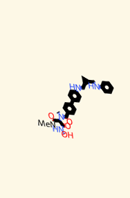 CNC(=O)C(C(=O)NO)N(C)C(=O)c1ccc(-c2ccc(NCC3CC3CNc3ccccc3)cc2)cc1